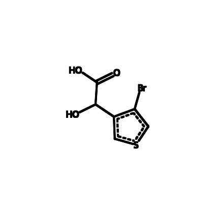 O=C(O)C(O)c1cscc1Br